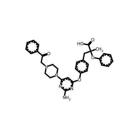 CC(Cc1ccc(Oc2cc(N3CCN(CC(=O)c4ccccc4)CC3)nc(N)n2)cc1)(Oc1ccccc1)C(=O)O